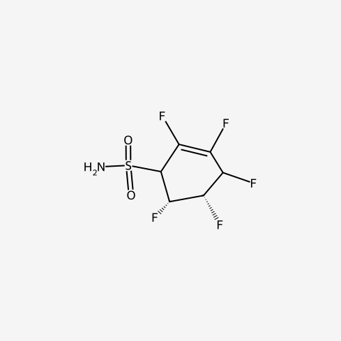 NS(=O)(=O)C1C(F)=C(F)C(F)[C@H](F)[C@@H]1F